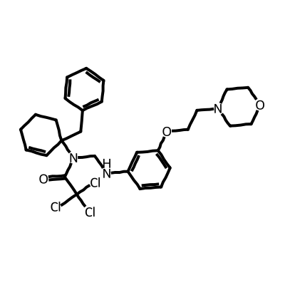 O=C(N(CNc1cccc(OCCN2CCOCC2)c1)C1(Cc2ccccc2)C=CCCC1)C(Cl)(Cl)Cl